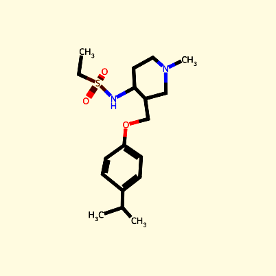 CCS(=O)(=O)NC1CCN(C)CC1COc1ccc(C(C)C)cc1